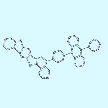 c1ccc(-c2c3ccccc3c(-c3ccc(-c4cc5c6cc7sc8ccccc8c7cc6sc5c5ccccc45)cc3)c3ccccc23)cc1